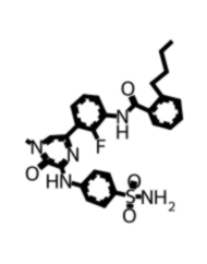 CCCCc1ccccc1C(=O)Nc1cccc(-c2cn(C)c(=O)c(Nc3ccc(S(N)(=O)=O)cc3)n2)c1F